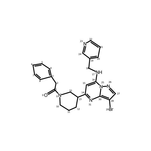 O=C(Cc1ccccc1)N1CCCC(c2cc(NCc3cccnc3)n3ncc(Br)c3n2)C1